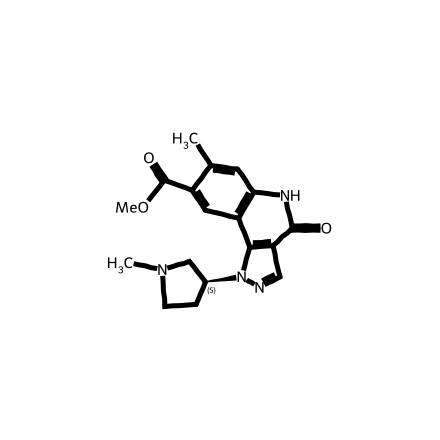 COC(=O)c1cc2c(cc1C)[nH]c(=O)c1cnn([C@H]3CCN(C)C3)c12